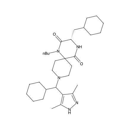 CCCCN1C(=O)[C@H](CC2CCCCC2)NC(=O)C12CCN(C(c1c(C)n[nH]c1C)C1CCCCC1)CC2